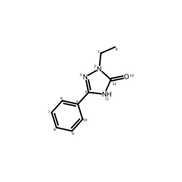 CCn1nc(-c2ccccc2)[nH]c1=O